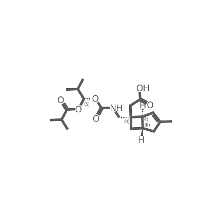 CC1=C[C@H]2[C@H](C1)C[C@@]2(CNC(=O)O[C@H](OC(=O)C(C)C)C(C)C)CC(=O)O